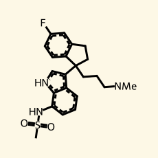 CNCCCC1(c2c[nH]c3c(NS(C)(=O)=O)cccc23)CCc2cc(F)ccc21